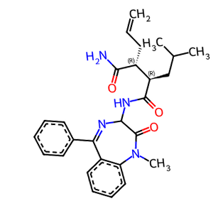 C=CC[C@@H](C(N)=O)[C@@H](CC(C)C)C(=O)NC1N=C(c2ccccc2)c2ccccc2N(C)C1=O